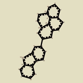 c1cc2ccc3cc(-c4ccc5c(c4)oc4ccccc45)cc4ccc(c1)c2c34